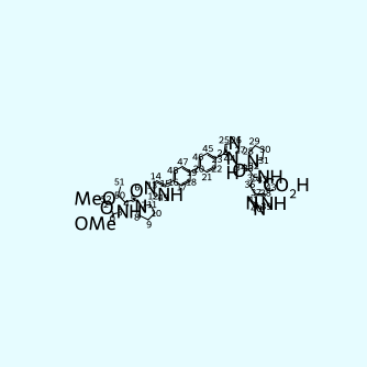 COC(=O)N[C@H](C(=O)N1CCC[C@H]1c1ncc(-c2ccc(-c3ccc(-c4cnc([C@@H]5CCCN5C(=O)[C@H](Cc5c[nH]nn5)NC(=O)O)[nH]4)cc3)cc2)[nH]1)[C@@H](C)OC